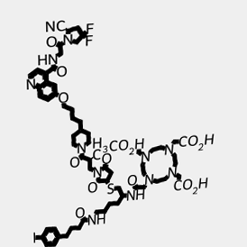 C[C@H](CN1C(=O)CC(SCC(CCCCNC(=O)CCCc2ccc(I)cc2)NC(=O)CN2CCN(CC(=O)O)CCN(CC(=O)O)CCN(CC(=O)O)CC2)C1=O)C(=O)N1CCC(CCCCOc2ccc3nccc(C(=O)NCC(=O)N4CC(F)(F)C[C@@H]4C#N)c3c2)CC1